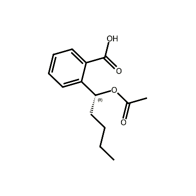 CCCC[C@@H](OC(C)=O)c1ccccc1C(=O)O